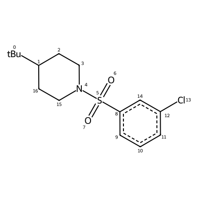 CC(C)(C)C1CCN(S(=O)(=O)c2cccc(Cl)c2)CC1